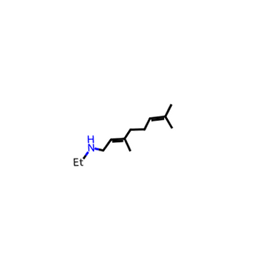 CCNC/C=C(\C)CCC=C(C)C